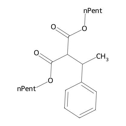 CCCCCOC(=O)C(C(=O)OCCCCC)C(C)c1ccccc1